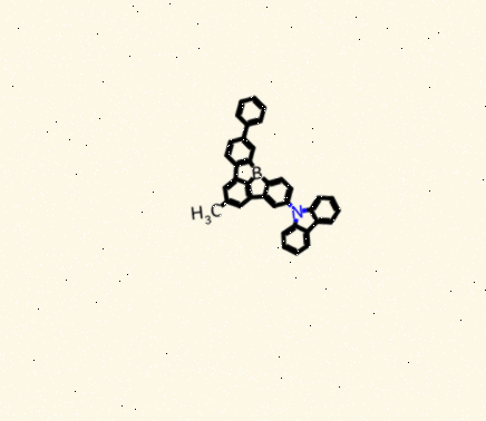 Cc1cc2c3c(c1)-c1cc(-n4c5ccccc5c5ccccc54)ccc1B3c1cc(-c3ccccc3)ccc1-2